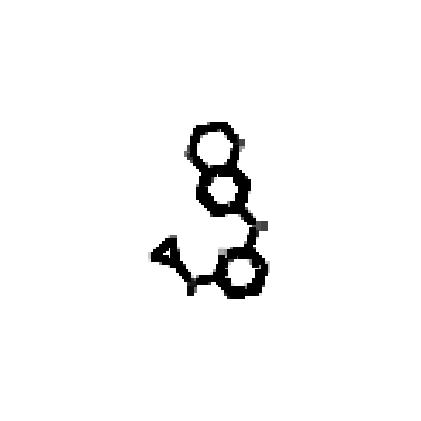 c1cc(NC2CC2)nc(Nc2ccc3c(c2)OCCO3)n1